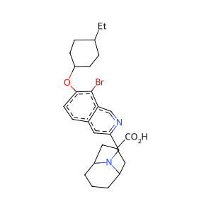 CCC1CCC(Oc2ccc3cc(CN4C5CCCC4CC(C(=O)O)C5)ncc3c2Br)CC1